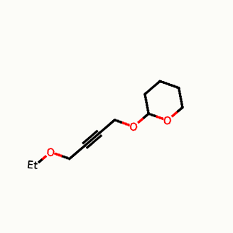 CCOCC#CCOC1CCCCO1